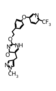 Cn1cc(Cc2c[nH]c(OCCc3ccc(Oc4ccc(C(F)(F)F)nc4)cc3)nc2=O)cn1